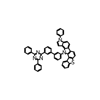 c1ccc(-c2nc(-c3ccccc3)nc(-c3cccc(-c4cccc(-n5c6c(ccc7c6ccn7-c6ccccc6)c6ccc7sc8ccccc8c7c65)c4)c3)n2)cc1